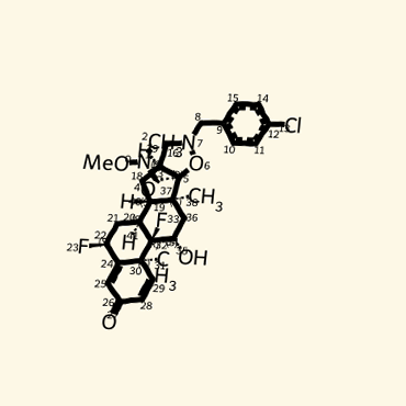 CON(C)C(=O)[C@@]12ON(Cc3ccc(Cl)cc3)C[C@@H]1C[C@H]1[C@@H]3C[C@H](F)C4=CC(=O)C=C[C@]4(C)[C@@]3(F)[C@@H](O)C[C@@]12C